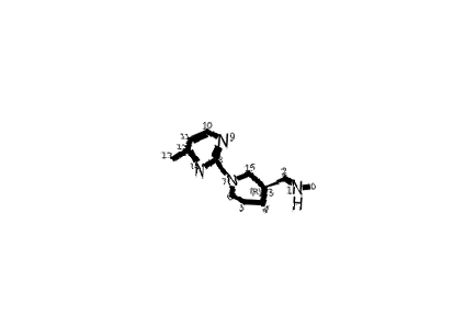 CNC[C@H]1CCCN(c2nccc(C)n2)C1